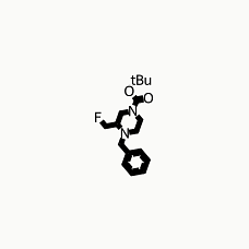 CC(C)(C)OC(=O)N1CCN(Cc2ccccc2)C(CF)C1